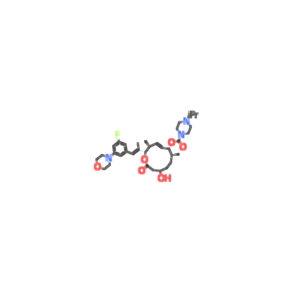 C/C(=C\c1cc(F)cc(N2CCOCC2)c1)[C@H]1OC(=O)C[C@H](O)CC[C@H](C)[C@@H](OC(=O)N2CCN(C(C)C)CC2)/C=C/[C@@H]1C